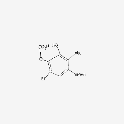 CCCCCc1cc(CC)c(OC(=O)O)c(O)c1CCCC